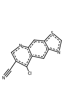 N#Cc1cnc2cc3scnc3cc2c1Cl